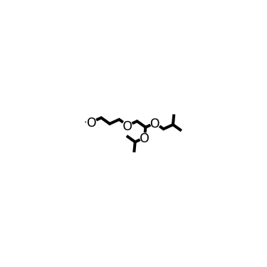 CC(C)COC(COCCC[O])OC(C)C